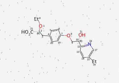 CCO[C@H](Cc1ccc(OC[C@H](O)c2ccc(CC)cn2)cc1)C(=O)O